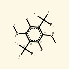 COc1c(C)c(C(F)(F)F)c(OC)c(C)c1C(F)(F)F